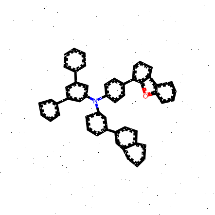 c1ccc(-c2cc(-c3ccccc3)cc(N(c3ccc(-c4cccc5c4oc4ccccc45)cc3)c3cccc(-c4ccc5ccccc5c4)c3)c2)cc1